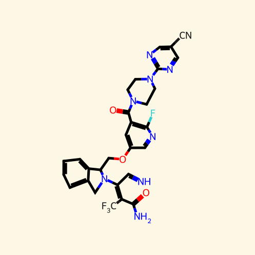 N#Cc1cnc(N2CCN(C(=O)c3cc(OCC4c5ccccc5CN4/C(C=N)=C(/C(N)=O)C(F)(F)F)cnc3F)CC2)nc1